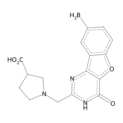 Bc1ccc2oc3c(=O)[nH]c(CN4CCC(C(=O)O)C4)nc3c2c1